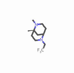 CN1CCC2C[C@]1(C)CCN2CC(F)(F)F